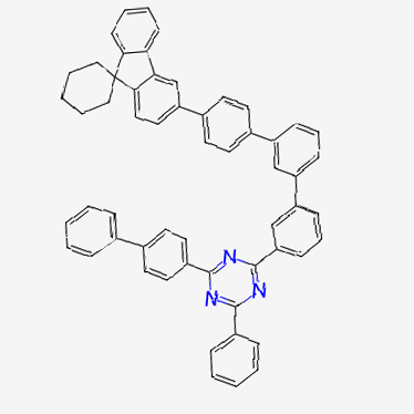 c1ccc(-c2ccc(-c3nc(-c4ccccc4)nc(-c4cccc(-c5cccc(-c6ccc(-c7ccc8c(c7)-c7ccccc7C87CCCCC7)cc6)c5)c4)n3)cc2)cc1